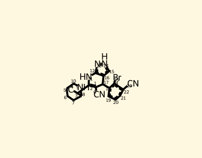 N#CC1=C(C2CC3CCC2NC3)Nc2n[nH]cc2C1c1cccc(C#N)c1Br